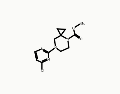 CC(C)(C)OC(=O)N1CCN(c2nccc(Cl)n2)CC12CC2